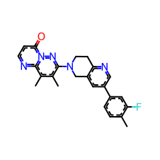 Cc1ccc(-c2cnc3c(c2)CN(c2nn4c(=O)ccnc4c(C)c2C)CC3)cc1F